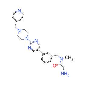 CN(Cc1cccc(-c2cnc(N3CCN(Cc4ccncc4)CC3)nc2)c1)C(=O)CN